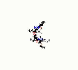 CC(C)CCC(=O)NCCC(C)(C)OCCC(C)(C)C(=O)N[C@@H](CSCC(C)C)C(=O)O